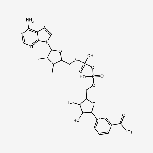 CC1C(COP(=O)(O)OP(=O)(O)OCC2OC([n+]3cccc(C(N)=O)c3)C(O)C2O)OC(n2cnc3c(N)ncnc32)C1C